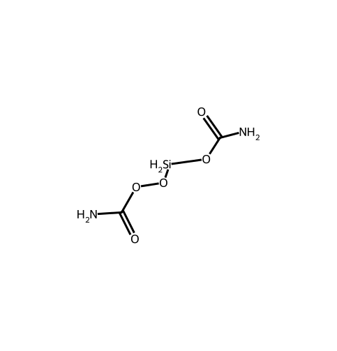 NC(=O)OO[SiH2]OC(N)=O